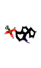 O=S(=O)(Oc1ccc(I)c2c1CCC21CCCC1)C(F)(F)F